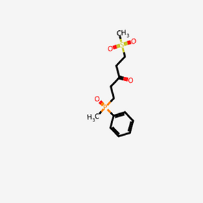 CP(=O)(CCC(=O)CCS(C)(=O)=O)c1ccccc1